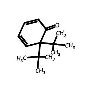 CC(C)(C)C1(C(C)(C)C)C=CC=CC1=O